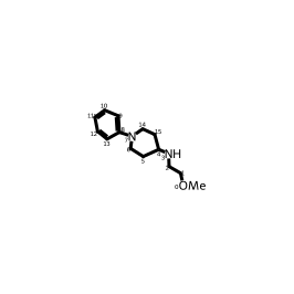 COCCNC1CCN(c2cc[c]cc2)CC1